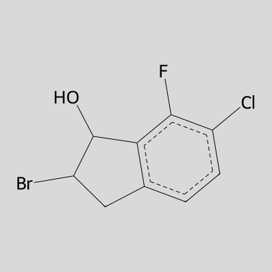 OC1c2c(ccc(Cl)c2F)CC1Br